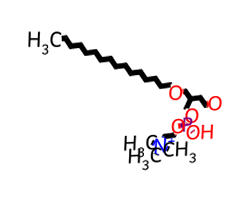 CCCCCCCCCCCCCCCCOCC(CC=O)COP(O)OCC[N+](C)(C)C